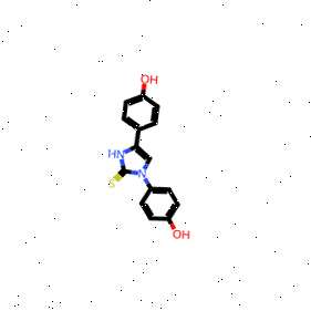 Oc1ccc(-c2cn(-c3ccc(O)cc3)c(=S)[nH]2)cc1